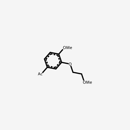 COCCOc1cc(C(C)=O)ccc1OC